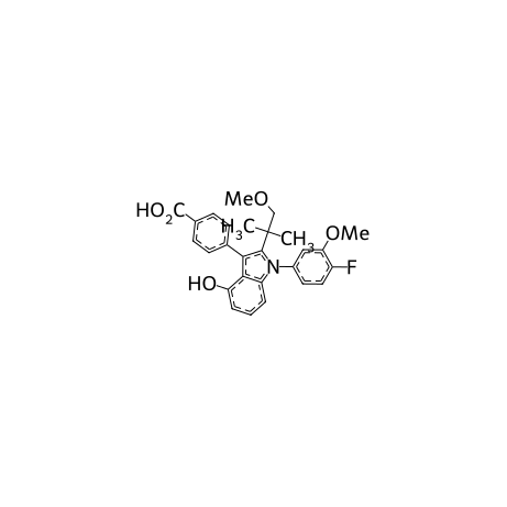 COCC(C)(C)c1c(-c2ccc(C(=O)O)cc2)c2c(O)cccc2n1-c1ccc(F)c(OC)c1